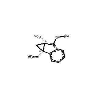 CC(C)(C)OC(=O)[C@]1(C(=O)O)C[C@]1(CO)c1ccccc1